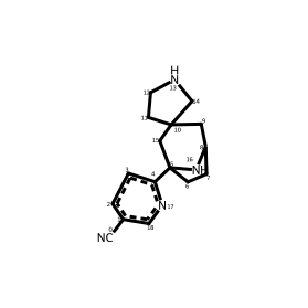 N#Cc1ccc(C23CCC(CC4(CCNC4)C2)N3)nc1